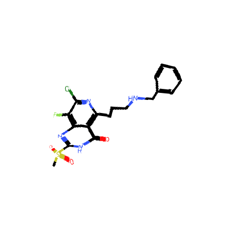 CS(=O)(=O)c1nc2c(F)c(Cl)nc(CCCNCc3ccccc3)c2c(=O)[nH]1